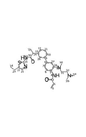 C=CC(=O)Nc1ccc(-c2cccc(C(C)C(=O)Nc3ncc(CC)s3)c2)cc1N(C)CCN(C)C